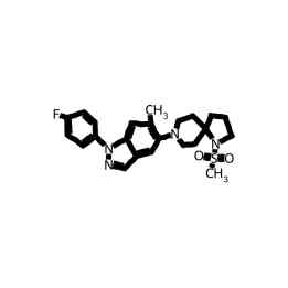 Cc1cc2c(cnn2-c2ccc(F)cc2)cc1N1CCC2(CCCN2S(C)(=O)=O)CC1